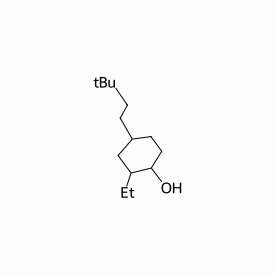 CCC1CC(CCC(C)(C)C)CCC1O